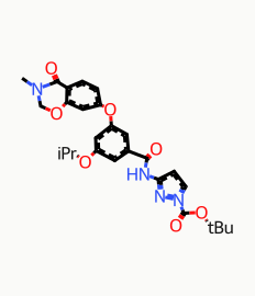 CC(C)Oc1cc(Oc2ccc3c(c2)OCN(C)C3=O)cc(C(=O)Nc2ccn(C(=O)OC(C)(C)C)n2)c1